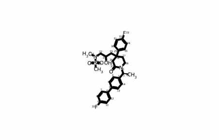 C[C@@H](c1ccc(-c2ccc(F)cc2)cc1)N1CCC(CC(O)CN(C)S(C)(=O)=O)(c2ccc(F)cc2)CC1=O